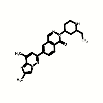 CCC1CC(n2ncc3cc(-c4cc(C)c5nc(C)cn5n4)ccc3c2=O)CCN1